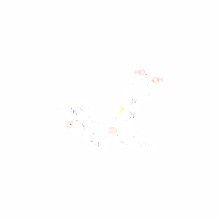 Cc1ccc(OCc2ccc(C(=O)N(C)C)cc2C)c(-c2csc(N3CCC(C(O)O)CC3)n2)c1